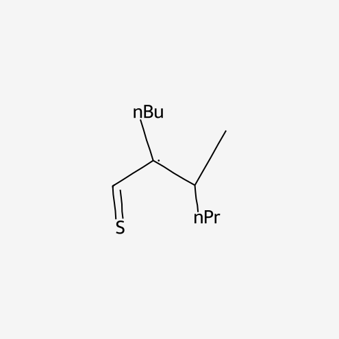 CCCC[C](C=S)C(C)CCC